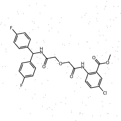 COC(=O)c1cc(Cl)ccc1NC(=O)COCC(=O)NC(c1ccc(F)cc1)c1ccc(F)cc1